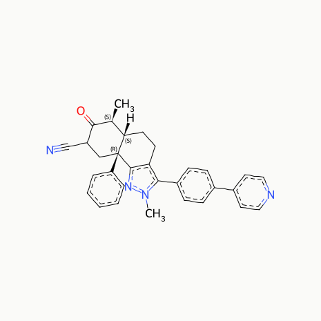 C[C@@H]1C(=O)C(C#N)C[C@@]2(c3ccccc3)c3nn(C)c(-c4ccc(-c5ccncc5)cc4)c3CC[C@@H]12